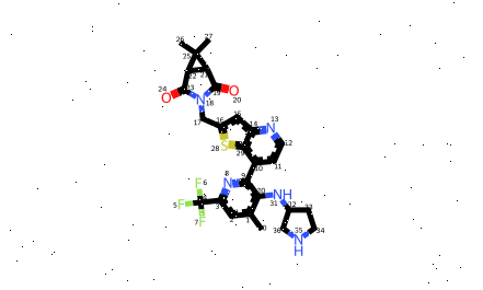 Cc1cc(C(F)(F)F)nc(-c2ccnc3cc(CN4C(=O)C5C(C4=O)C5(C)C)sc23)c1NC1CCNC1